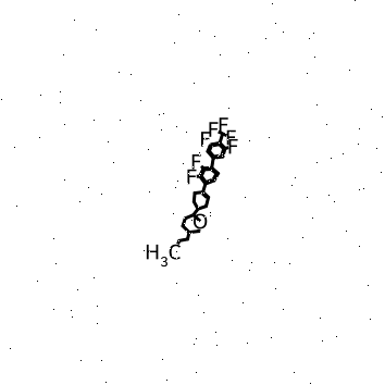 CCCC1CCC(C2CC=C(c3ccc(-c4cc(F)c(C(F)(F)F)c(F)c4)c(F)c3F)CC2)OC1